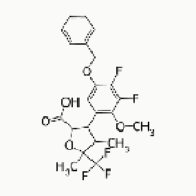 COc1c(C2C(C(=O)O)OC(C)(C(F)(F)F)C2C)cc(OCc2ccccc2)c(F)c1F